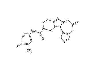 C=C1Cc2cnoc2-c2c3c(nn2C1)CCN(C(=O)Nc1ccc(F)c(C(F)(F)F)c1)C3